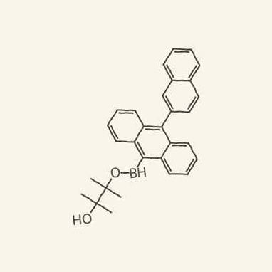 CC(C)(O)C(C)(C)OBc1c2ccccc2c(-c2ccc3ccccc3c2)c2ccccc12